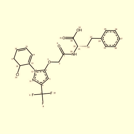 O=C(COc1cc(C(F)(F)F)nn1C1=CC=CCC1Cl)N[C@@H](CCc1ccccc1)C(=O)O